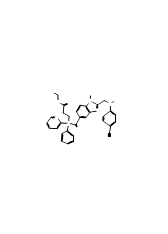 CCOC(=O)CC[N+](C(=O)c1ccc2c(c1)nc(CN(C)c1ccc(C#N)cc1)n2C)(c1ccccc1)c1ccccn1